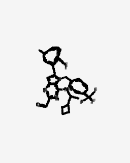 Cc1ccc(F)c(-c2cc3nc(C=O)nc(NC(C)C4CCC4)c3n2Cc2ccc(C(F)(F)F)cc2)c1